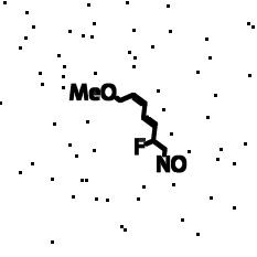 COC/C=C\C=C\C(F)CN=O